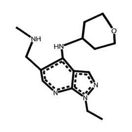 CCn1ncc2c(NC3CCOCC3)c(CNC)cnc21